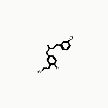 CC(C)CCc1cc(CC(C)CCc2cccc(Cl)c2)ccc1Cl